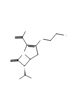 CC(O)[C@H]1C(=O)N2C(C(=O)O)=C(SCCN)CC12